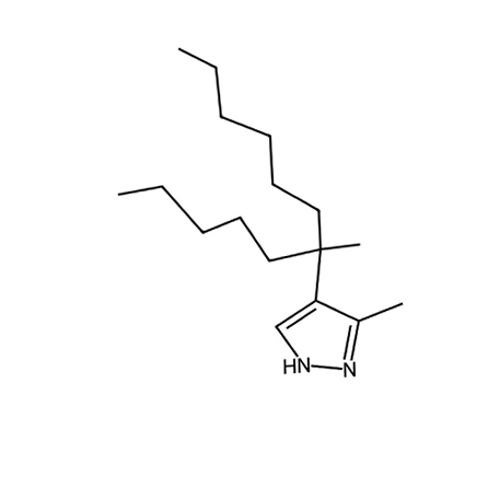 CCCCCCC(C)(CCCCC)c1c[nH]nc1C